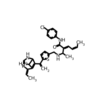 C=C(C1=C2/C(=C\C)N=CNC1C2N)c1ccc(CNC(C)/C(=C\C=C/C)C(=O)Nc2ccc(Cl)cc2)s1